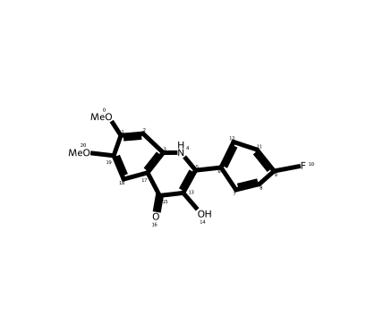 COc1cc2[nH]c(-c3ccc(F)cc3)c(O)c(=O)c2cc1OC